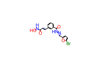 O=C(/C=C/c1cccc(C(=O)N/N=C/c2ccc(Br)o2)c1)NO